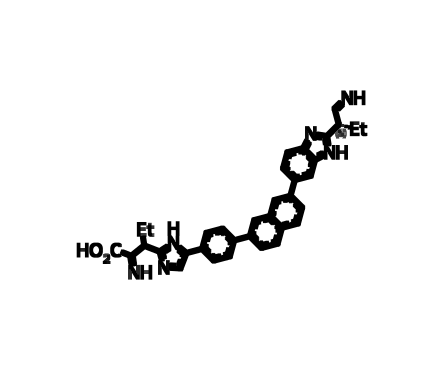 CCC(C(=N)C(=O)O)c1ncc(-c2ccc(-c3ccc4ccc(-c5ccc6nc([C@H](C=N)CC)[nH]c6c5)cc4c3)cc2)[nH]1